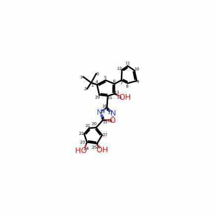 CC(C)(C)c1cc(-c2ccccc2)c(O)c(-c2noc(-c3ccc(O)c(O)c3)n2)c1